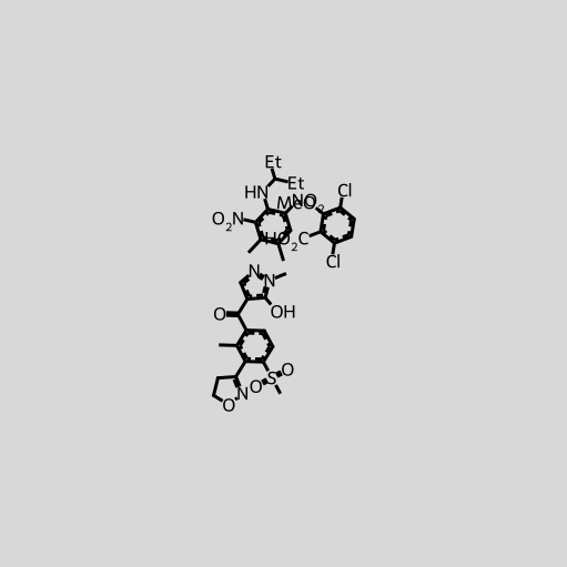 CCC(CC)Nc1c([N+](=O)[O-])cc(C)c(C)c1[N+](=O)[O-].COc1c(Cl)ccc(Cl)c1C(=O)O.Cc1c(C(=O)c2cnn(C)c2O)ccc(S(C)(=O)=O)c1C1=NOCC1